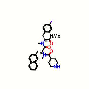 CNC(=O)[C@@H](Cc1ccc(I)cc1)N(C)C(=O)[C@@H](Cc1ccc2ccccc2c1)N(C)C(=O)C1CCNCC1